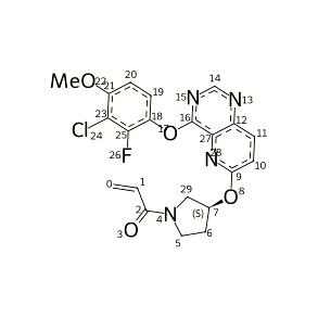 C=CC(=O)N1CC[C@H](Oc2ccc3ncnc(Oc4ccc(OC)c(Cl)c4F)c3n2)C1